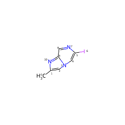 Cc1cn2cc(I)ncc2n1